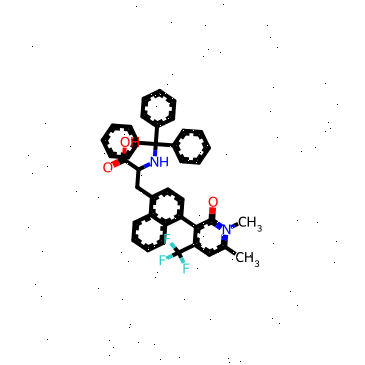 Cc1cc(C(F)(F)F)c(-c2ccc(CC(NC(c3ccccc3)(c3ccccc3)c3ccccc3)C(=O)O)c3ccccc23)c(=O)n1C